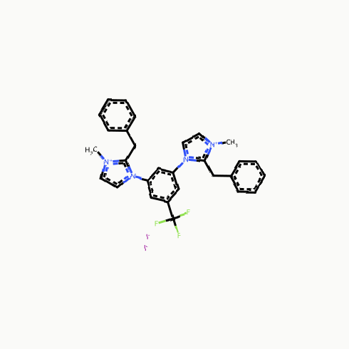 C[n+]1ccn(-c2cc(-n3cc[n+](C)c3Cc3ccccc3)cc(C(F)(F)F)c2)c1Cc1ccccc1.[I-].[I-]